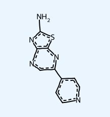 Nc1nc2ncc(-c3ccncc3)nc2s1